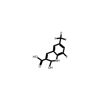 O=C(O)C1=Cc2cc(C(F)(F)F)cc(F)c2NC1O